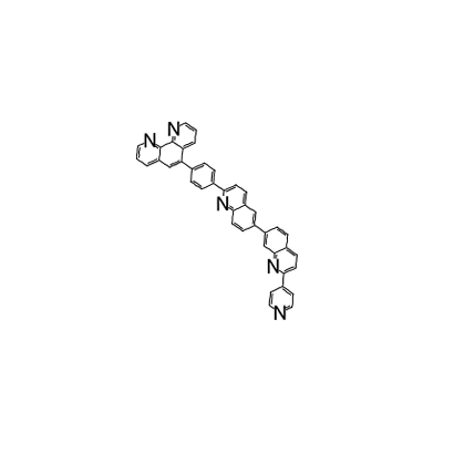 c1cnc2c(c1)cc(-c1ccc(-c3ccc4cc(-c5ccc6ccc(-c7ccncc7)nc6c5)ccc4n3)cc1)c1cccnc12